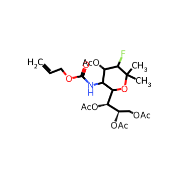 C=CCOC(=O)NC1C(OC(C)=O)C(F)C(C)(C)OC1[C@H](OC(C)=O)[C@@H](COC(C)=O)OC(C)=O